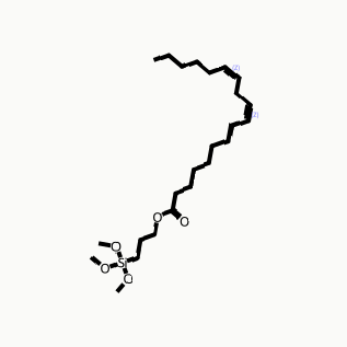 CCCCC/C=C\C/C=C\CCCCCCCC(=O)OCCC[Si](OC)(OC)OC